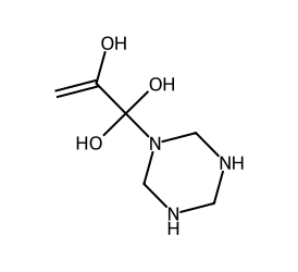 C=C(O)C(O)(O)N1CNCNC1